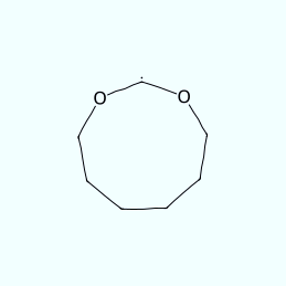 [CH]1OCCCCCCO1